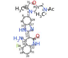 CC(=O)N(C)C[C@H]1CN(c2ccc3[nH]c(-c4c(N)c5c(F)cccc5[nH]c4=O)nc3c2)[C@@H](C)CO1